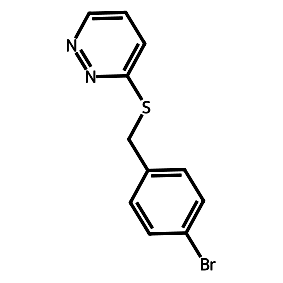 Brc1ccc(CSc2cccnn2)cc1